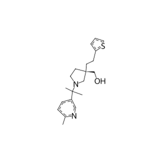 Cc1ccc(C(C)(C)N2CC[C@](CO)(CCc3cccs3)C2)cn1